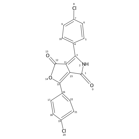 O=C1NC(c2ccc(Cl)cc2)=C2C(=O)OC(c3ccc(Cl)cc3)=C12